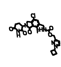 O=C1CCC(N2Cc3c(Cl)cc(CNC(=O)OCc4ccn(C5CCC5)n4)c(F)c3C2=O)C(=O)N1